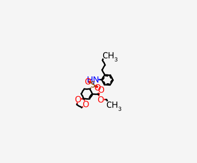 CCCCc1ccccc1NS(=O)(=O)C1CCC2(C=C1C(=O)OCC)OCCO2